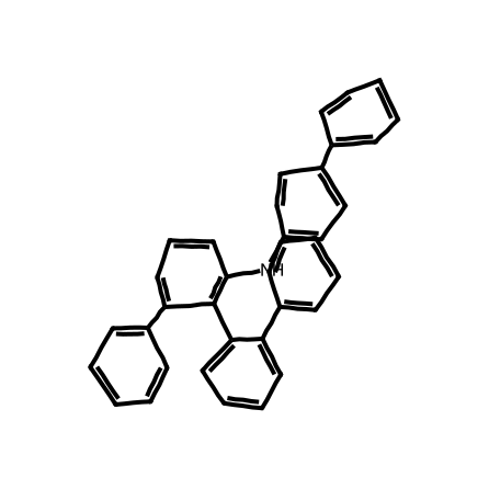 c1ccc(-c2ccc(Nc3cccc(-c4ccccc4)c3-c3ccccc3-c3ccccc3)cc2)cc1